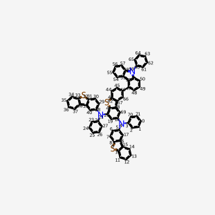 c1ccc(N(c2ccc3sc4ccccc4c3c2)c2cc(N(c3ccccc3)c3ccc4sc5ccccc5c4c3)c3sc4ccc(-c5cccc6c5c5ccccc5n6-c5ccccc5)cc4c3c2)cc1